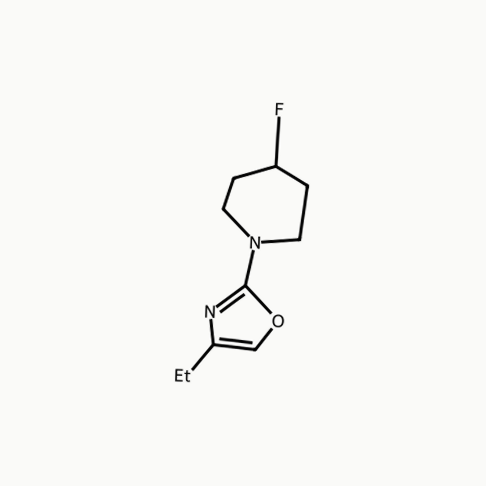 CCc1coc(N2CCC(F)CC2)n1